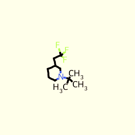 CC(C)(C)N1CCCC(CC(F)(F)F)C1